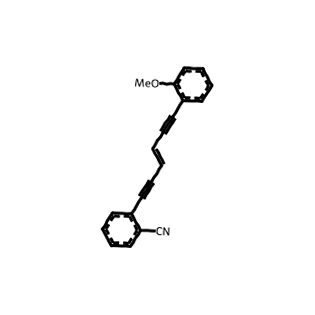 COc1ccccc1C#CC=CC#Cc1ccccc1C#N